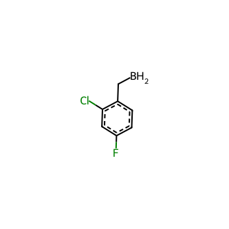 BCc1ccc(F)cc1Cl